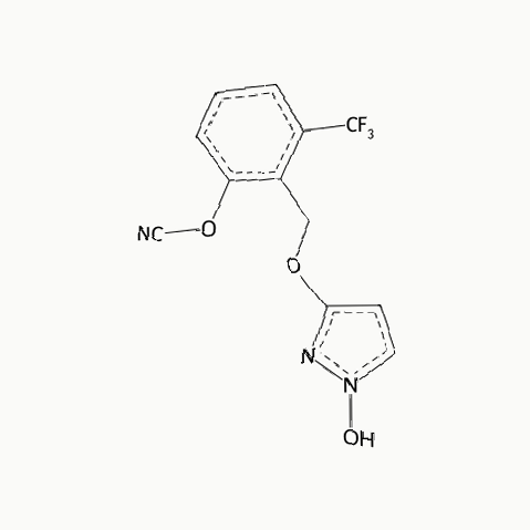 N#COc1cccc(C(F)(F)F)c1COc1ccn(O)n1